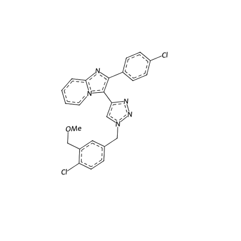 COCc1cc(Cn2cc(-c3c(-c4ccc(Cl)cc4)nc4ccccn34)nn2)ccc1Cl